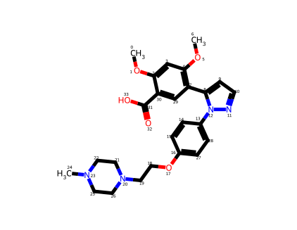 COc1cc(OC)c(-c2ccnn2-c2ccc(OCCN3CCN(C)CC3)cc2)cc1C(=O)O